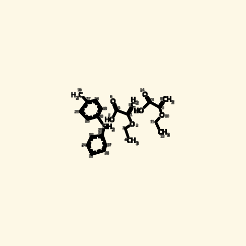 C=C(OCC)C(=O)O.C=C(OCC)C(=O)O.Cc1ccc([SiH2]c2ccccc2)cc1